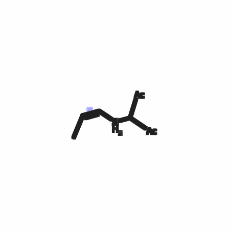 C/C=C\[SiH2]C(C(C)=O)C(C)=O